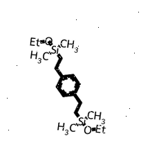 CCO[Si](C)(C)CCc1ccc(CC[Si](C)(C)OCC)cc1